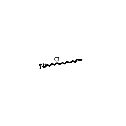 CCCCCCCCCCCCCCCC[N+](C)(C)C.[Cl-]